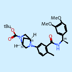 COc1ccc([C@@H](C)NC(=O)c2cc(N3C[C@@H]4C[C@H]3CN4C(=O)OC(C)(C)C)ccc2C)cc1OC